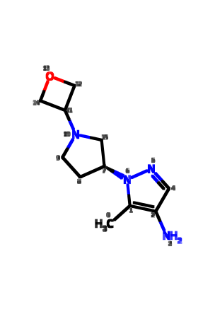 Cc1c(N)cnn1[C@H]1CCN(C2COC2)C1